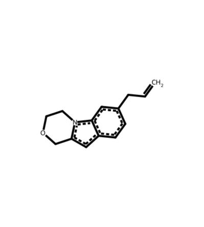 C=CCc1ccc2cc3n(c2c1)CCOC3